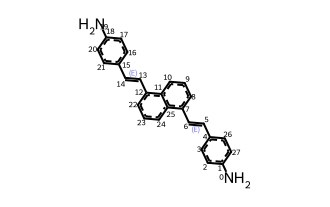 Nc1ccc(/C=C/c2cccc3c(/C=C/c4ccc(N)cc4)cccc23)cc1